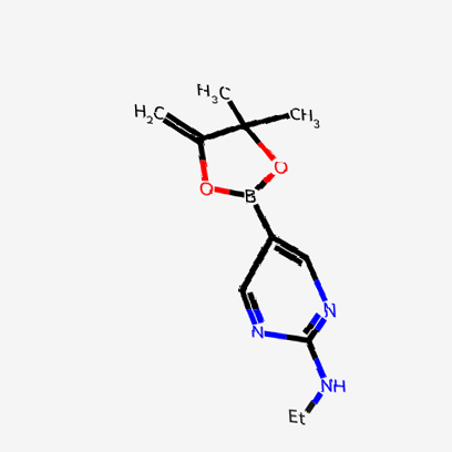 C=C1OB(c2cnc(NCC)nc2)OC1(C)C